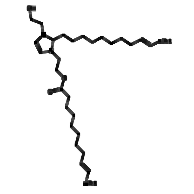 CCCCCCCCC=CCCCCCCCCC1N(CCO)C=CN1CCOC(=O)CCCCCCCC=CCCCCCCCC